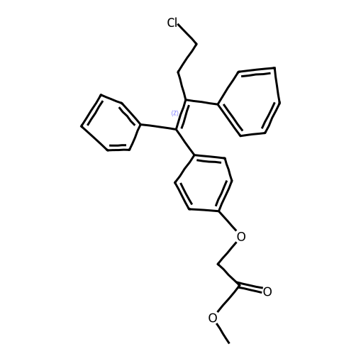 COC(=O)COc1ccc(/C(=C(/CCCl)c2ccccc2)c2ccccc2)cc1